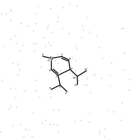 CC(C)C1=CN(C)C=CC1C(C)C